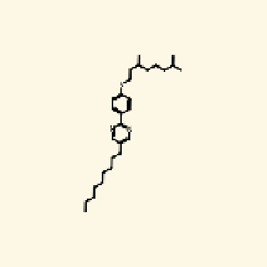 CCCCCCCCCc1cnc(-c2ccc(SCCC(C)CCCC(C)C)cc2)nc1